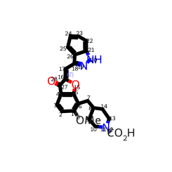 COc1ccc2c(c1CC1CCN(C(=O)O)CC1)O/C(=C\c1n[nH]c3ccccc13)C2=O